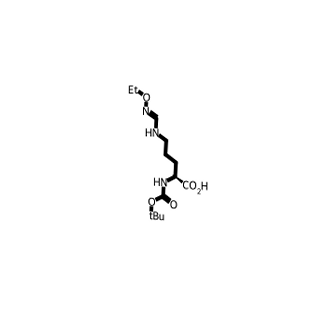 CCON=CNCCC[C@H](NC(=O)OC(C)(C)C)C(=O)O